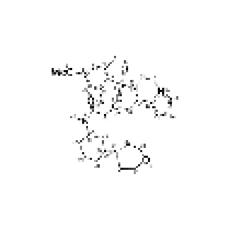 COc1cc(C)c(S(=O)(=O)N2CCn3cccc3C2COCC(=O)N(C)[C@@H]2CCC[C@H](N3CCOCC3)C2)c(C)c1